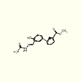 COC(=O)c1cccc(-c2ccc(O)c(/C=N/NC(N)=S)c2)c1